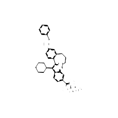 COC(=O)c1ccc2c(C3CCCCC3)c3n(c2c1)CCCc1cc(OCc2ccccc2)ccc1-3